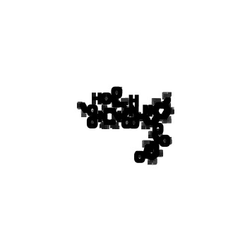 CCOC(=O)N1CCN(C(=O)[C@H](CCC(=O)O)NC(=O)c2cc(OCC(=O)N3CCC(=O)C3)c3ccc(C)cc3n2)CC1